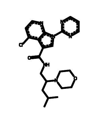 CC(C)CC(CNC(=O)c1cn(-c2ncccn2)c2nccc(Cl)c12)N1CCOCC1